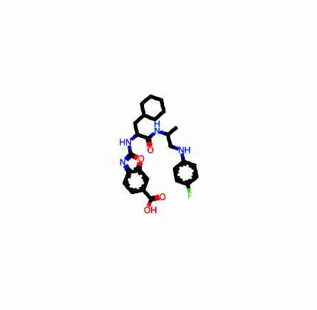 CC(CNc1ccc(F)cc1)NC(=O)C(CC1CCCCC1)Nc1nc2ccc(C(=O)O)cc2o1